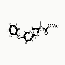 COC(=O)Nc1cn2cc(Sc3ccccc3)ccc2n1